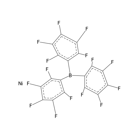 Fc1c(F)c(F)c(B(c2c(F)c(F)c(F)c(F)c2F)c2c(F)c(F)c(F)c(F)c2F)c(F)c1F.[Ni]